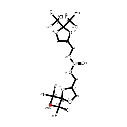 O=[N+](OCC1COC(C(F)(F)Cl)(C(F)(F)Cl)O1)OCC1COC(C(F)(F)Cl)(C(F)(F)Cl)O1